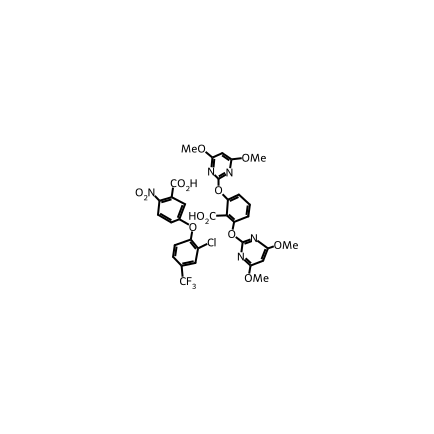 COc1cc(OC)nc(Oc2cccc(Oc3nc(OC)cc(OC)n3)c2C(=O)O)n1.O=C(O)c1cc(Oc2ccc(C(F)(F)F)cc2Cl)ccc1[N+](=O)[O-]